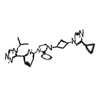 CC(C)n1cnnc1-c1cccc(N2CCN(C3CC(n4cnc(C5CC5)c4)C3)C2=O)n1